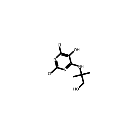 CC(C)(CO)Nc1nc(Cl)nc(Cl)c1O